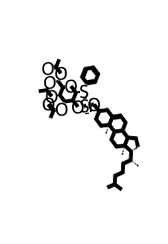 CC(=O)OCC1O[C@@H](Sc2ccccc2)C(O[Si](C)(C)OC2CC[C@@]3(C)C(=CCC4C3CC[C@@]3(C)C4CC[C@@H]3[C@H](C)CCCC(C)C)C2)C(OC(C)=O)[C@@H]1OC(C)=O